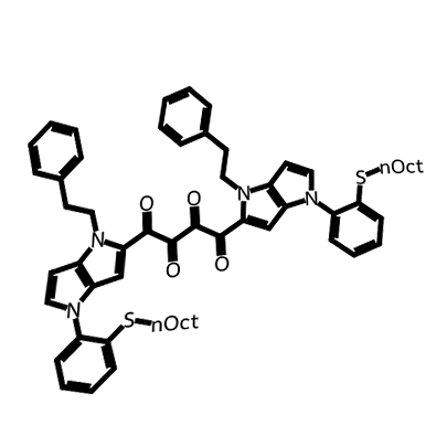 CCCCCCCCSc1ccccc1-n1ccc2c1cc(C(=O)C(=O)C(=O)C(=O)c1cc3c(ccn3-c3ccccc3SCCCCCCCC)n1CCc1ccccc1)n2CCc1ccccc1